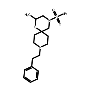 CC1CN(S(=O)(=O)C(C)C)CC2(CCN(CCc3ccccc3)CC2)O1